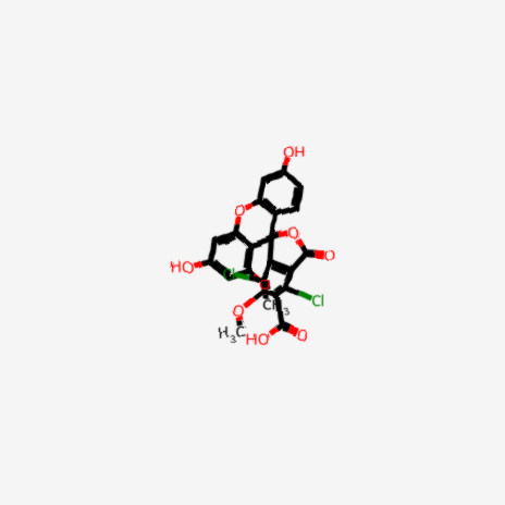 COc1cc(O)cc2c1C1(OC(=O)c3c(Cl)c(C(=O)O)c(OC)c(Cl)c31)c1ccc(O)cc1O2